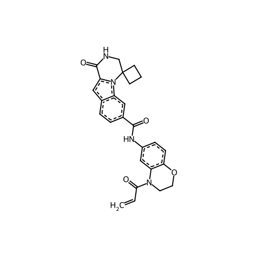 C=CC(=O)N1CCOc2ccc(NC(=O)c3ccc4cc5n(c4c3)C3(CCC3)CNC5=O)cc21